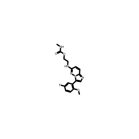 CNC(=O)OCCNc1ccc2ncc(-c3cc(F)ccc3OC)n2n1